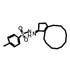 Cc1ccc(S(=O)(=O)NN=C2CCC3=C2CCCCCCCCCC3)cc1